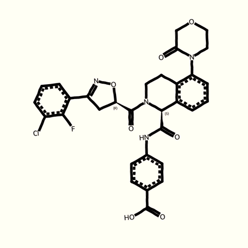 O=C(O)c1ccc(NC(=O)[C@@H]2c3cccc(N4CCOCC4=O)c3CCN2C(=O)[C@H]2CC(c3cccc(Cl)c3F)=NO2)cc1